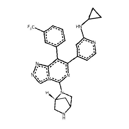 FC(F)(F)c1cccc(-c2c(-c3ccnc(NC4CC4)c3)nc(N3CC4C[C@@H]3CN4)n3cnnc23)c1